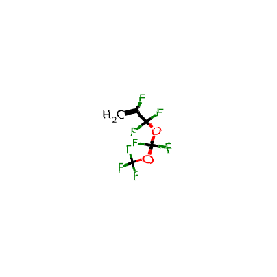 C=C(F)C(F)(F)OC(F)(F)OC(F)(F)F